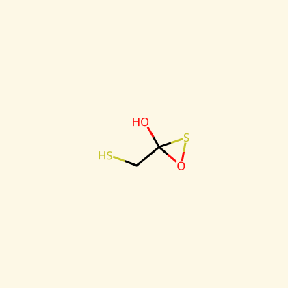 OC1(CS)OS1